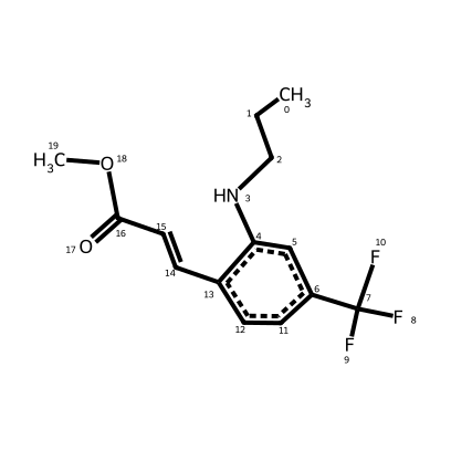 CCCNc1cc(C(F)(F)F)ccc1/C=C/C(=O)OC